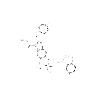 CS(=O)(=O)N(CCC(O)c1cc(Cl)ccc1Br)c1cc2oc(Cc3ccc(F)cc3)c(C(N)=O)c2cc1C1CC1